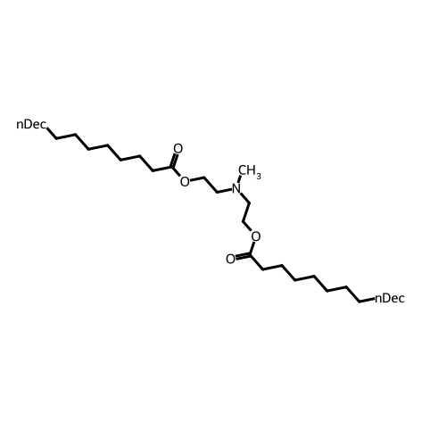 CCCCCCCCCCCCCCCCCC(=O)OCCN(C)CCOC(=O)CCCCCCCCCCCCCCCCC